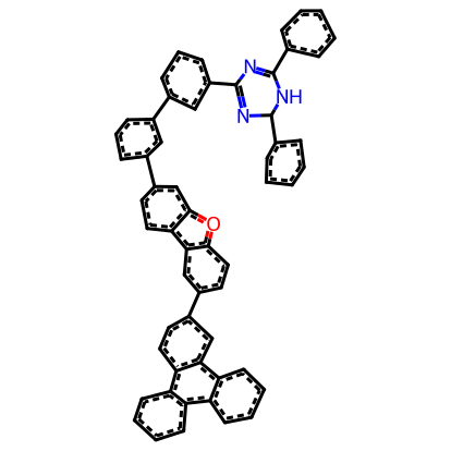 c1ccc(C2=NC(c3cccc(-c4cccc(-c5ccc6c(c5)oc5ccc(-c7ccc8c9ccccc9c9ccccc9c8c7)cc56)c4)c3)=NC(c3ccccc3)N2)cc1